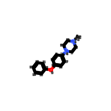 CC(=O)N1CCN(c2ccc(Oc3ccccc3)cc2)CC1